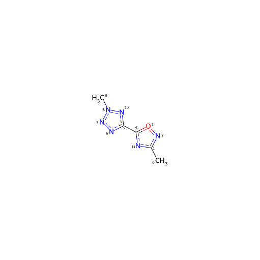 Cc1noc(-c2nnn(C)n2)n1